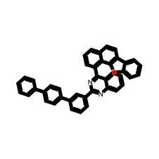 c1ccc(-c2ccc(-c3cccc(-c4nc(-c5cccc6ccc7c8ccccc8sc7c56)c5ccccc5n4)c3)cc2)cc1